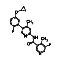 Cc1cc(NC(=O)c2cncc(F)c2C)ncc1-c1cc(OC2CC2)ccc1F